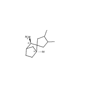 CC1CC2(CC1C)[C@H]1CCC(C1)[C@H]2N